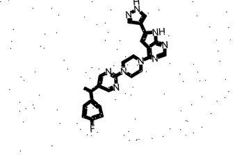 CC(c1ccc(F)cc1)c1cnc(N2CCN(c3ncnc4[nH]c(-c5cn[nH]c5)cc34)CC2)nc1